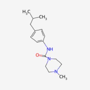 CC(C)Cc1ccc(NC(=O)N2CCN(C)CC2)cc1